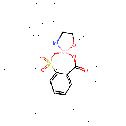 O=C1O[B-]2(NCCO2)OS(=O)(=O)c2ccccc21